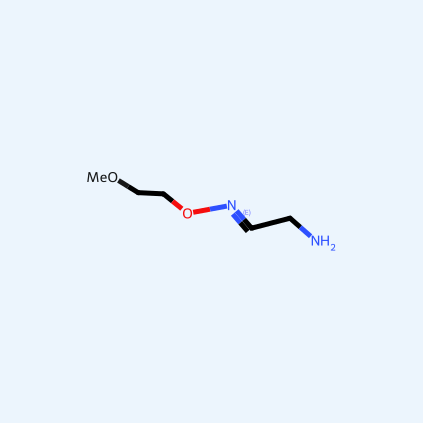 COCCO/N=C/CN